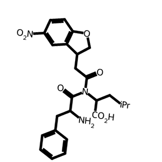 CC(C)CC(C(=O)O)N(C(=O)CC1COc2ccc([N+](=O)[O-])cc21)C(=O)C(N)Cc1ccccc1